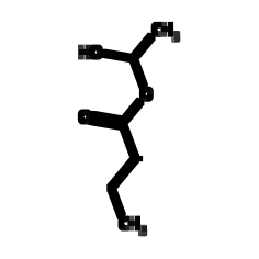 CC[CH]C(=O)OC(C)O